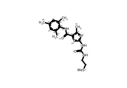 CSCCNC(=O)Nc1nc(C)c(C(=O)Nc2c(C)cc(C)cc2C)s1